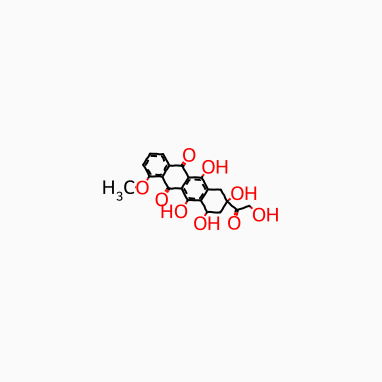 COc1cccc2c1C(=O)c1c(O)c3c(c(O)c1C2=O)C[C@](O)(C(=O)CO)CC3O